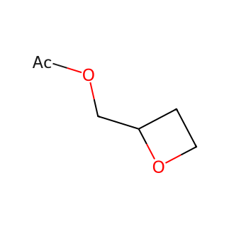 CC(=O)OCC1CCO1